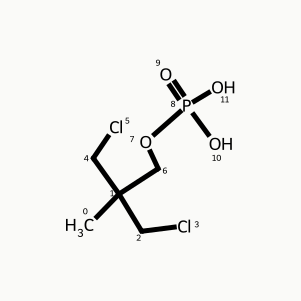 CC(CCl)(CCl)COP(=O)(O)O